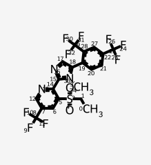 CCS(=O)(=O)c1cc(C(F)(F)F)cnc1-c1ncc(-c2ccc(C(F)(F)F)cc2C(F)(F)F)n1C